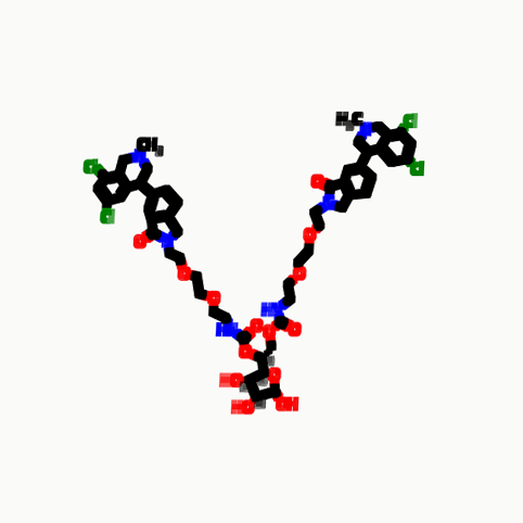 CN1Cc2c(Cl)cc(Cl)cc2C(c2ccc3c(c2)C(=O)N(CCOCCOCCNC(=O)OC[C@@H](OC(=O)NCCOCCOCCN2Cc4ccc(C5CN(C)Cc6c(Cl)cc(Cl)cc65)cc4C2=O)[C@H]2OC(O)[C@H](O)[C@H]2O)C3)C1